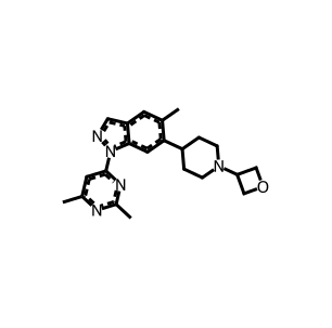 Cc1cc(-n2ncc3cc(C)c(C4CCN(C5COC5)CC4)cc32)nc(C)n1